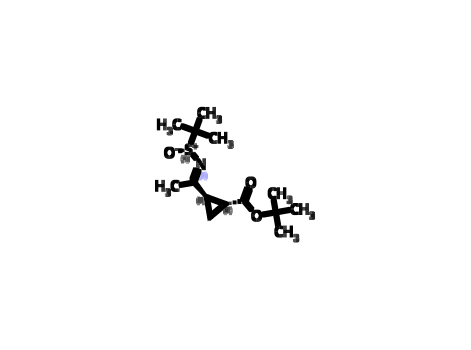 C/C(=N\[S@+]([O-])C(C)(C)C)[C@@H]1C[C@H]1C(=O)OC(C)(C)C